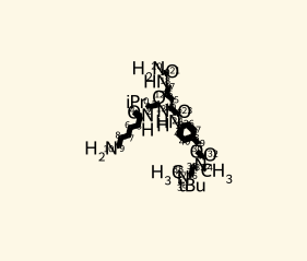 CC(C)C(NC(=O)CCCCCN)C(=O)N[C@@H](CCCNC(N)=O)C(=O)Nc1ccc(COC(=O)N(C)CCN(C)C(C)(C)C)cc1